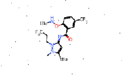 Cn1c(C(C)(C)C)cc(=NC(=O)c2cc(C(F)(F)F)ccc2ONC(C)(C)C)n1CCC(F)(F)F